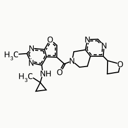 Cc1nc(NC2(C)CC2)c2c(C(=O)N3CCc4c(ncnc4C4CCO4)C3)coc2n1